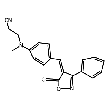 CN(CCC#N)c1ccc(C=C2C(=O)ON=C2c2ccccc2)cc1